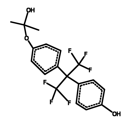 CC(C)(O)Oc1ccc(C(c2ccc(O)cc2)(C(F)(F)F)C(F)(F)F)cc1